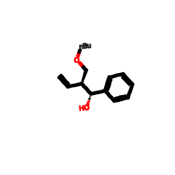 C=C[C@@H](COCCCC)[C@@H](O)c1ccccc1